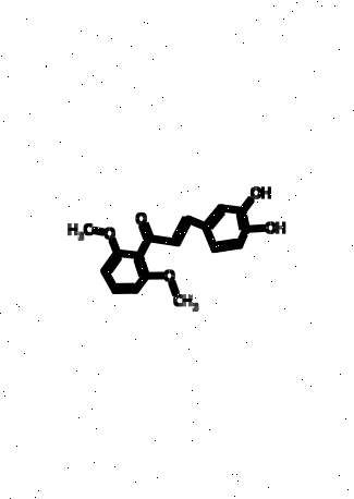 COc1cccc(OC)c1C(=O)C=Cc1ccc(O)c(O)c1